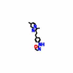 Cc1ccn2c(C)c(CCc3ccc(NC4=NCCO4)cc3)nc2c1